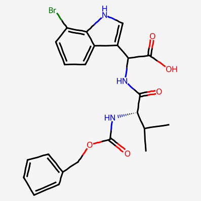 CC(C)[C@H](NC(=O)OCc1ccccc1)C(=O)NC(C(=O)O)c1c[nH]c2c(Br)cccc12